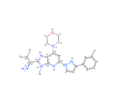 Cc1cccc(-c2ccn(-c3cc(N4CCOCC4)c4nc([C@@H](N)C(C)C)n(C)c4n3)n2)c1